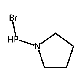 BrPN1CCCC1